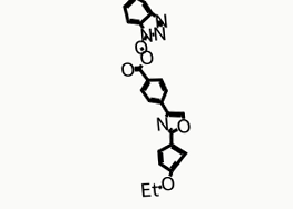 CCOc1ccc(-c2nc(-c3ccc(C(=O)OOn4nnc5ccccc54)cc3)co2)cc1